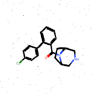 O=C(c1ccccc1-c1ccc(Cl)cc1)N1C2CCC1CNC2